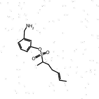 CC=CCCC(C)S(=O)(=O)Oc1cccc(CN)c1